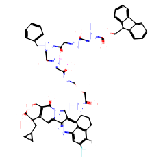 Cc1c(F)cc2nc3c(c4c2c1CC[C@@H]4NC(=O)[C@H](C)OCNC(=O)CNC(=O)[C@H](Cc1ccccc1)NC(=O)CNC(=O)CNC(=O)OCC1c2ccccc2-c2ccccc21)Cn1c-3cc2c(c1=O)COC(=O)[C@]2(O)CC1CC1